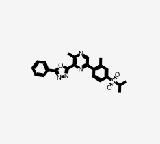 Cc1cc(S(=O)(=O)C(C)C)ccc1-c1cnc(C)c(-c2nnc(-c3ccccc3)o2)n1